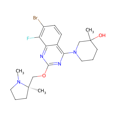 CN1CCC[C@]1(C)COc1nc(N2CCCC(C)(O)C2)c2ccc(Br)c(F)c2n1